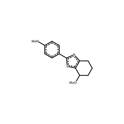 CNc1ccc(-c2nc3c(s2)C(OC)CCC3)cc1